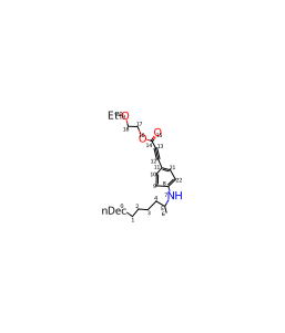 CCCCCCCCCCCCCCC(C)Nc1ccc(C#CC(=O)OCCOCC)cc1